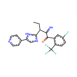 CCC(C(=N)C(=O)c1cc(F)ccc1C(F)(F)F)c1ncc(-c2ccncc2)[nH]1